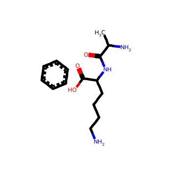 CC(N)C(=O)NC(CCCCN)C(=O)O.c1ccccc1